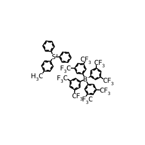 Cc1ccc([S+](c2ccccc2)c2ccccc2)cc1.FC(F)(F)c1cc([B-](c2cc(C(F)(F)F)cc(C(F)(F)F)c2)(c2cc(C(F)(F)F)cc(C(F)(F)F)c2)c2cc(C(F)(F)F)cc(C(F)(F)F)c2)cc(C(F)(F)F)c1